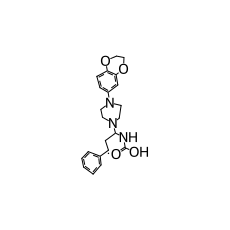 O=C(O)NC(C[CH]c1ccccc1)N1CCN(c2ccc3c(c2)OCCO3)CC1